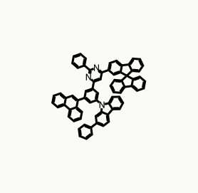 c1ccc(-c2ccc3c4ccccc4n(-c4cc(-c5cc(-c6ccc7c(c6)C6(c8ccccc8-c8ccccc86)c6ccccc6-7)nc(-c6ccccc6)n5)cc(-c5cc6ccccc6c6ccccc56)c4)c3c2)cc1